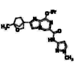 CC(C)Oc1nc(C(=O)Nc2ccn(C)n2)cn2cc(C34CCC(C)(C3)OC4)nc12